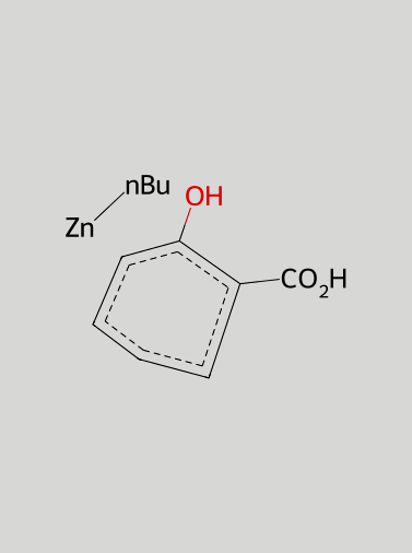 CCC[CH2][Zn].O=C(O)c1ccccc1O